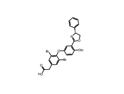 O=C(O)Cc1cc(Br)c(Oc2ccc(O)c(C3=N[C@@H](c4ccccc4)CO3)c2)c(Br)c1